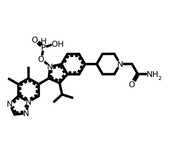 Cc1c(-c2c(C(C)C)c3cc(C4CCN(CC(N)=O)CC4)ccc3n2O[PH](=O)O)cn2ncnc2c1C